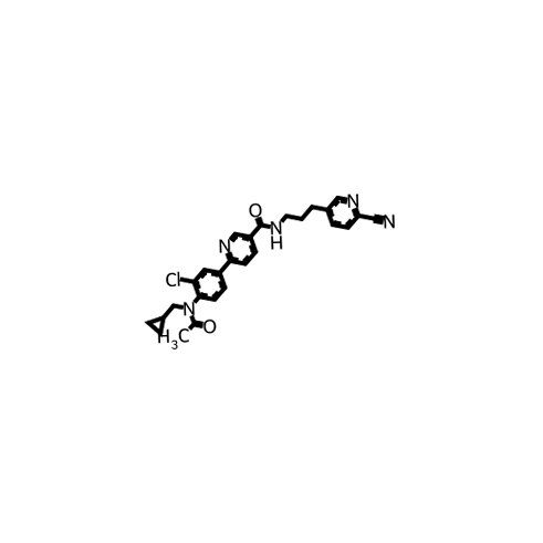 CC(=O)N(CC1CC1)c1ccc(-c2ccc(C(=O)NCCCc3ccc(C#N)nc3)cn2)cc1Cl